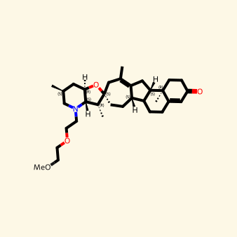 COCCOCCN1C[C@@H](C)C[C@H]2O[C@]3(CC[C@@H]4C(=C(C)C3)C[C@H]3C4CCC4=CC(=O)CC[C@@]43C)[C@H](C)[C@@H]21